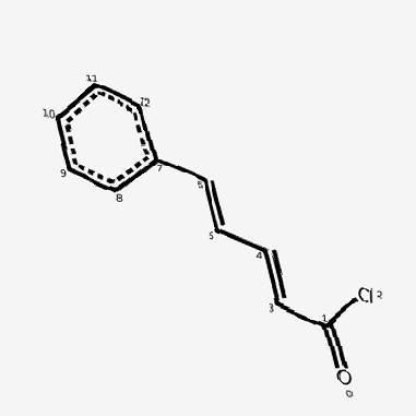 O=C(Cl)C=C/C=C/c1ccccc1